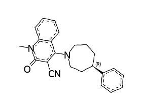 Cn1c(=O)c(C#N)c(N2CCC[C@@H](c3ccccc3)CC2)c2ccccc21